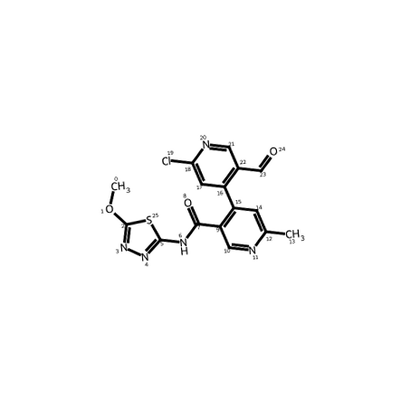 COc1nnc(NC(=O)c2cnc(C)cc2-c2cc(Cl)ncc2C=O)s1